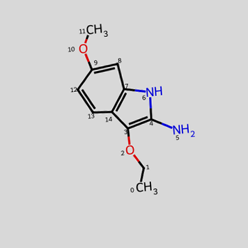 CCOc1c(N)[nH]c2cc(OC)ccc12